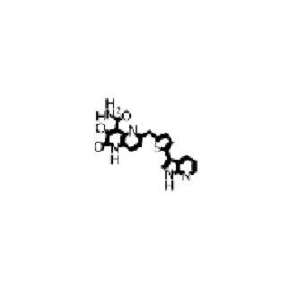 NC(=O)c1c(O)c(=O)[nH]c2ccc(Cc3ccc(-c4c[nH]c5ncccc45)s3)nc12